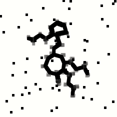 COCOc1ccccc1CCC1CCCC(=O)C(OCOC)C(OCOC)C1